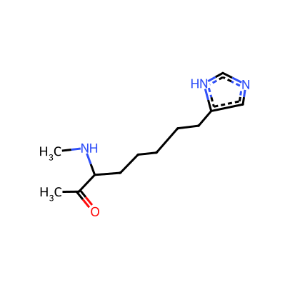 CNC(CCCCCc1cnc[nH]1)C(C)=O